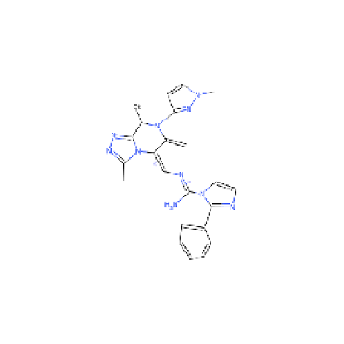 C=C1/C(=C\N=C(/N)n2ccnc2-c2ccccc2)n2c(C)nnc2C(CC)N1c1ccn(C)n1